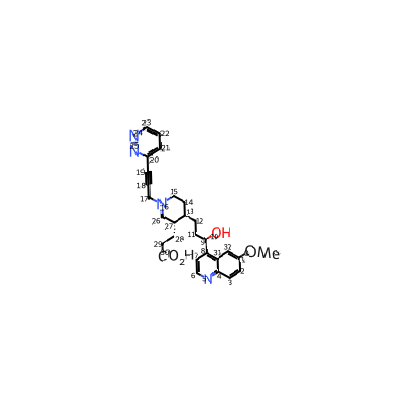 COc1ccc2nccc([C@H](O)CC[C@@H]3CCN(CC#Cc4cccnn4)C[C@H]3CCC(=O)O)c2c1